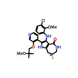 COc1c(Cl)cccc1Nc1c(-c2ccncc2OCC(C)(C)OC)[nH]c2c1C(=O)NC[C@H](C)C2